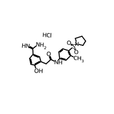 Cc1cc(NC(=O)Cc2cc(C(=N)N)ccc2O)ccc1S(=O)(=O)N1CCCC1.Cl